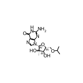 CC(C)OC[C@H]1O[C@@H](n2cnc3c(=O)[nH]c(N)nc32)[C@](C)(O)[C@@H]1O